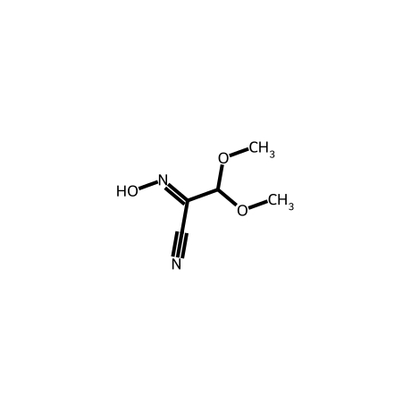 COC(OC)/C(C#N)=N/O